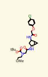 COCCN(CC(=O)N[C@H]1CC(NC(=O)COc2ccc(Cl)cc2)C2CC21)C(=O)OC(C)(C)C